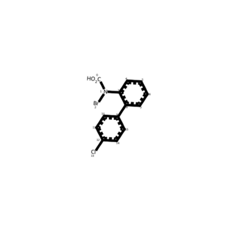 O=C(O)N(Br)c1ccccc1-c1ccc(Cl)cc1